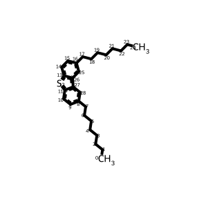 CCCCCCCCc1ccc2sc3ccc(CCCCCCCC)cc3c2c1